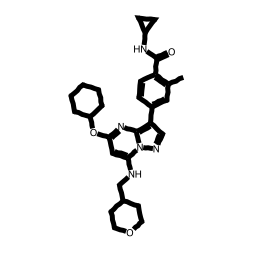 Cc1cc(-c2cnn3c(NCC4CCOCC4)cc(OC4CCCCC4)nc23)ccc1C(=O)NC1CC1